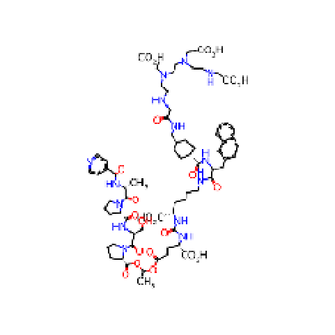 CC(OC(=O)CC[C@H](NC(=O)N[C@@H](CCCCNC(=O)[C@H](Cc1ccc2ccccc2c1)NC(=O)[C@H]1CC[C@H](CNC(=O)CNCCN(CCN(CCNCC(=O)O)CC(=O)O)CC(=O)O)CC1)C(=O)O)C(=O)O)OC(=O)[C@@H]1CCCN1C(=O)[C@H](CO)NC(=O)[C@@H]1CCCN1C(=O)[C@@H](C)NC(=O)c1ccncc1